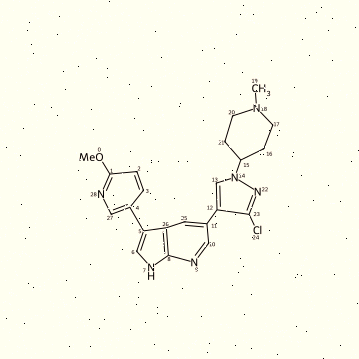 COc1ccc(-c2c[nH]c3ncc(-c4cn(C5CCN(C)CC5)nc4Cl)cc23)cn1